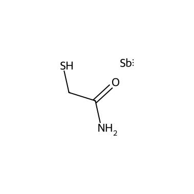 NC(=O)CS.[Sb]